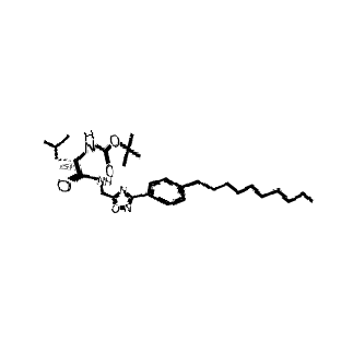 CCCCCCCCCCc1ccc(-c2noc(CNC(=O)[C@H](CC(C)C)NC(=O)OC(C)(C)C)n2)cc1